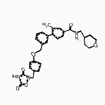 Cc1cc(C(=O)NCC2CCOCC2)ccc1-c1cccc(COc2ccc(Cn3oc(=O)[nH]c3=O)cc2)c1